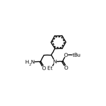 CCN(C(=O)OC(C)(C)C)C(CC(N)=O)c1ccccc1